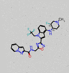 CN1CC[C@@H](Nc2cccc3c2cc(-c2noc(CNC(=O)c4cc5ccccn5n4)n2)n3CC(F)(F)F)[C@@H](F)C1